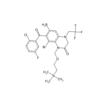 Bc1cc2c(c(Br)c1C(=O)c1cc(F)ccc1Cl)N(COCC[Si](C)(C)C)C(=O)CN2CC(F)(F)F